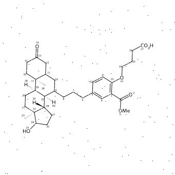 COC(=O)c1cc(CCCC2CC3CC(=O)CC[C@]3(C)[C@@H]3CC[C@]4(C)C(O)CC[C@H]4[C@H]23)ccc1OCCCC(=O)O